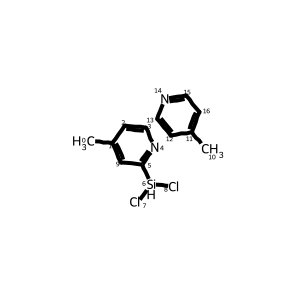 Cc1ccnc([SiH](Cl)Cl)c1.Cc1ccncc1